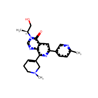 Cc1ccc(-c2cc3c(=O)n([C@@H](C)CO)cnc3c(C3=CCCN(C)C3)n2)cn1